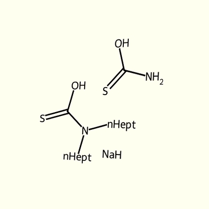 CCCCCCCN(CCCCCCC)C(O)=S.NC(O)=S.[NaH]